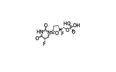 O=c1[nH]c(=O)n([C@H]2CC[C@@](F)(COP(=O)(O)O)O2)cc1F